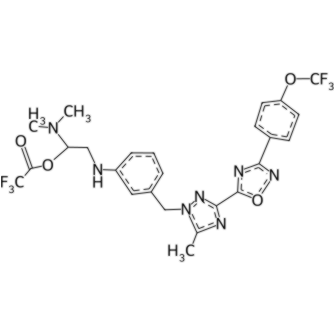 Cc1nc(-c2nc(-c3ccc(OC(F)(F)F)cc3)no2)nn1Cc1cccc(NCC(OC(=O)C(F)(F)F)N(C)C)c1